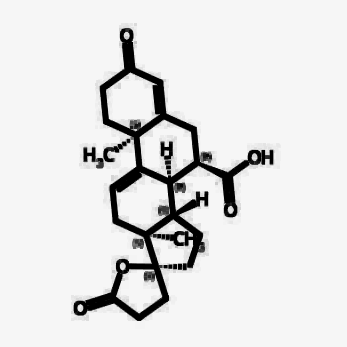 C[C@]12CCC(=O)C=C1C[C@@H](C(=O)O)[C@@H]1C2=CC[C@@]2(C)[C@H]1CC[C@@]21CCC(=O)O1